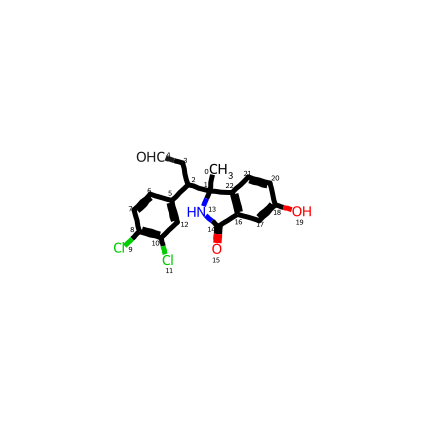 CC1(C(CC=O)c2ccc(Cl)c(Cl)c2)NC(=O)c2cc(O)ccc21